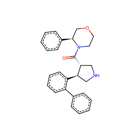 O=C([C@@H]1CNC[C@H]1c1ccccc1-c1ccccc1)N1CCOC[C@@H]1c1ccccc1